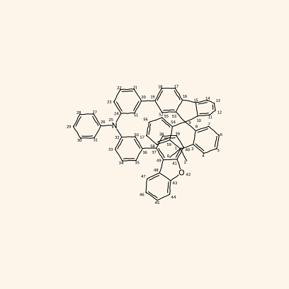 CC1(C)c2ccccc2C2(c3ccccc3-c3ccc(-c4cccc(N(c5ccccc5)c5cccc(-c6cccc7oc8ccccc8c67)c5)c4)cc32)c2ccccc21